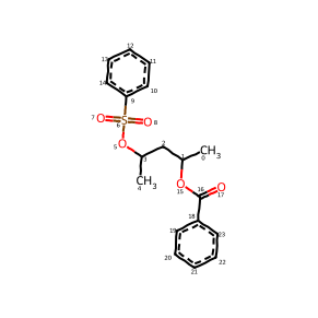 CC(CC(C)OS(=O)(=O)c1ccccc1)OC(=O)c1ccccc1